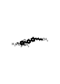 CCCCCCCC1CCC(C2CCC(CC(=O)c3ccc(OCC)c(F)c3C)CC2)CC1